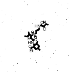 CCC(=O)c1cc(C)cc(C)c1NC(=O)c1sc(C)c(C)c1S(=O)(=O)CC=CNc1onc(C)c1Cl